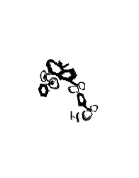 CC1(C)CC=C(S(=O)(=O)c2ccccc2)c2cc(C(=O)Oc3ccc(C(=O)O)cc3)ccc21